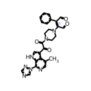 Cc1cnc(-n2cncn2)c2[nH]cc(C(=O)C(=O)N3CCN(/C(C=O)=C(/C=O)c4ccccc4)CC3)c12